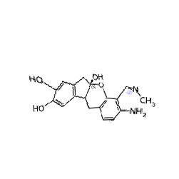 C/N=C\c1c(N)ccc2c1O[C@@]1(O)Cc3cc(O)c(O)cc3C1C2